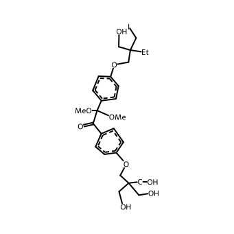 CCC(CO)(CI)COc1ccc(C(OC)(OC)C(=O)c2ccc(OCC(CO)(CO)CO)cc2)cc1